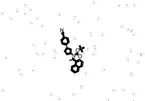 C[C@H](c1cccc2ccccc12)N(C(=O)OC(C)(C)C)[C@H]1CC[C@@H](c2ccc(C#N)cc2)C1